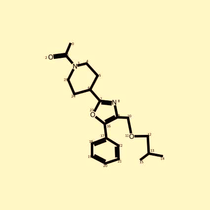 CC(=O)N1CCC(c2nc(COCC(C)C)c(-c3ccccc3)o2)CC1